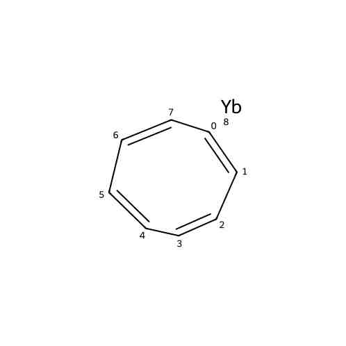 C1=CC=CC=CC=C1.[Yb]